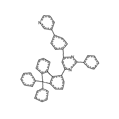 c1ccc(-c2nc(-c3ccc(-c4cccnc4)cc3)cc(-c3cccc4c3-c3ccccc3C4(c3ccccc3)c3ccccc3)n2)cc1